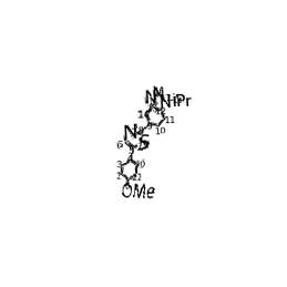 COc1ccc(-c2cnc(-c3ccc4c(c3)nnn4C(C)C)s2)cc1